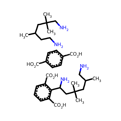 CC(CCN)CC(C)(C)CN.CC(CN)CC(C)(C)CC(N)c1c(C(=O)O)cccc1C(=O)O.O=C(O)c1ccc(C(=O)O)cc1